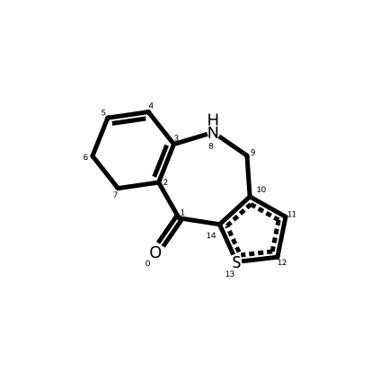 O=C1C2=C(C=CCC2)NCc2ccsc21